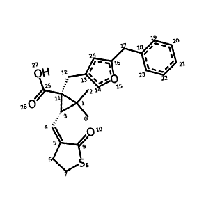 CC1(C)[C@H](C=C2CCSC2=O)[C@@]1(Cc1coc(Cc2ccccc2)c1)C(=O)O